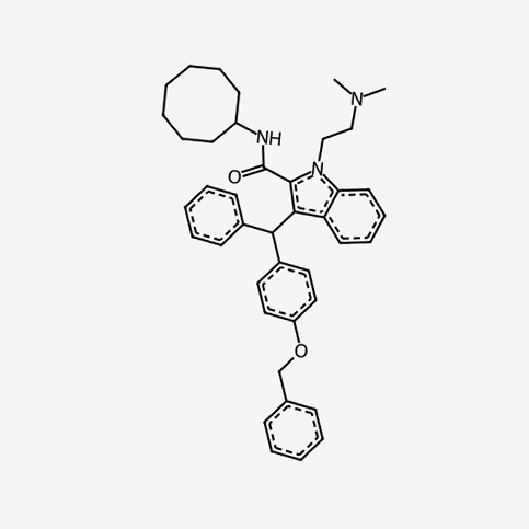 CN(C)CCn1c(C(=O)NC2CCCCCCC2)c(C(c2ccccc2)c2ccc(OCc3ccccc3)cc2)c2ccccc21